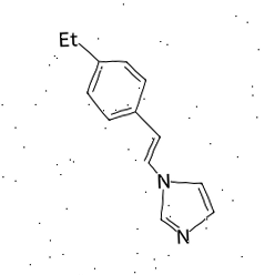 CCc1ccc(C=Cn2ccnc2)cc1